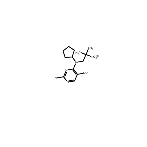 CCOC(=O)C(C)(C)CN(c1nc(Cl)ncc1N=O)C1CCCC1